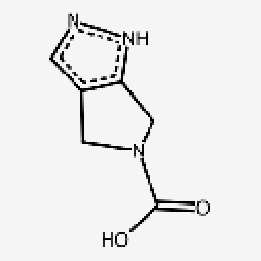 O=C(O)N1Cc2cn[nH]c2C1